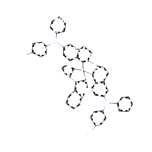 N#Cc1ccc(N(c2ccccc2)c2ccc3c4c(ccc3c2)-c2ccc3cc(N(c5ccccc5)c5ccc(C#N)cc5)ccc3c2C42c3ccccc3-c3c2ccc2ccccc32)cc1